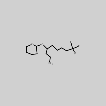 NCCC(CCCCC(F)(F)F)OC1CCCCO1